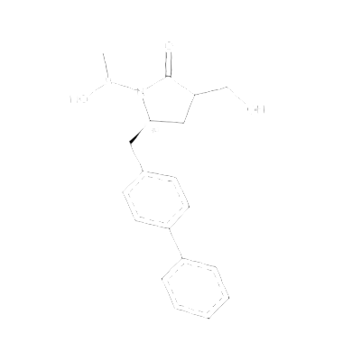 CB(O)N1C(=O)C(CO)C[C@H]1Cc1ccc(-c2ccccc2)cc1